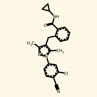 Cc1nn(-c2ccc(C#N)c(Cl)c2)c(C)c1Cc1ccccc1C(=O)NC1CC1